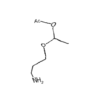 CC(=O)OC(C)OCCN